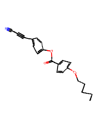 CCCCCOc1ccc(C(=O)Oc2ccc(C#CC#N)cc2)cc1